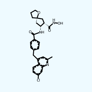 Cc1cc(Cc2ccc(C(=O)N[C@@H]3C[C@@]4(CCCO4)C[C@@H]3C(=O)NO)cc2)c2ccc(Cl)cc2n1